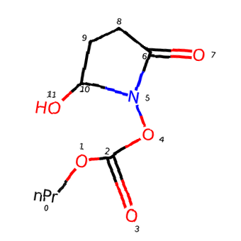 CCCOC(=O)ON1C(=O)CCC1O